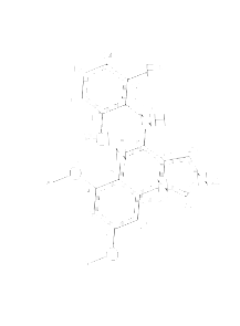 COc1cc(OC)c2nc(Nc3c(F)cccc3Cl)c3cncn3c2c1